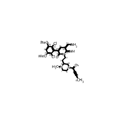 CC#CC(=O)N1CCN(C)C(CCN2C(=N)/C(=C\N)C=C(c3c(Cl)c(OC)cc(OC)c3Cl)C2=O)C1